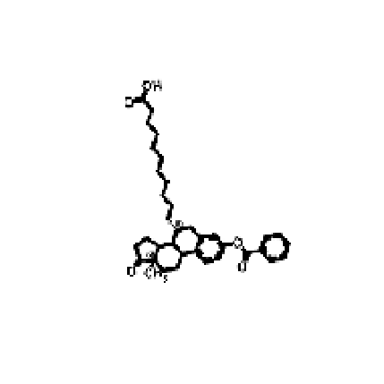 C[C@]12CCC3c4ccc(OC(=O)c5ccccc5)cc4C[C@@H](CCCCCCCCCCC(=O)O)C3C1CCC2=O